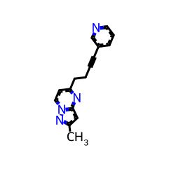 Cc1cc2nc(CCC#Cc3cccnc3)ccn2n1